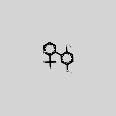 Nc1ccc(N)c(-c2cccnc2C(F)(F)F)c1